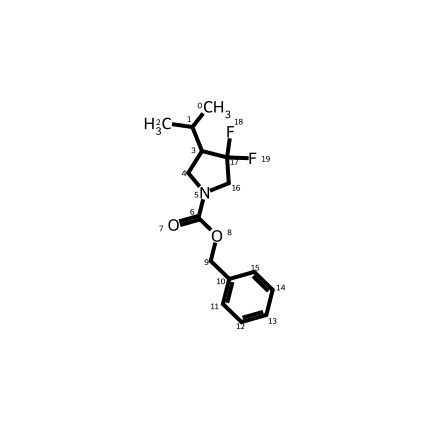 CC(C)C1CN(C(=O)OCc2ccccc2)CC1(F)F